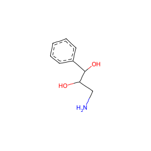 NCC(O)C(O)c1ccccc1